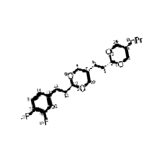 CCC[C@H]1CO[C@H](CC[C@H]2CO[C@H](CCc3ccc(F)c(F)c3)OC2)OC1